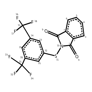 O=C1c2ccccc2C(=O)N1Sc1cc(C(F)(F)F)cc(C(F)(F)F)c1